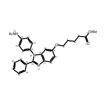 COC(=O)CCCCOc1ccc2nc(-c3ccccc3)n(-c3ccc(NC(C)=O)cc3)c2c1